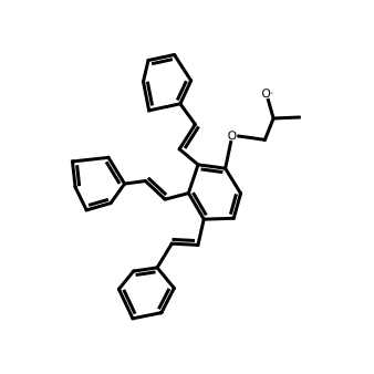 CC([O])COc1ccc(C=Cc2ccccc2)c(C=Cc2ccccc2)c1C=Cc1ccccc1